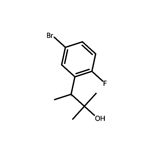 C[C](c1cc(Br)ccc1F)C(C)(C)O